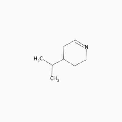 CC(C)C1CC=NCC1